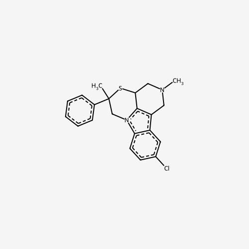 CN1Cc2c3n(c4ccc(Cl)cc24)CC(C)(c2ccccc2)SC3C1